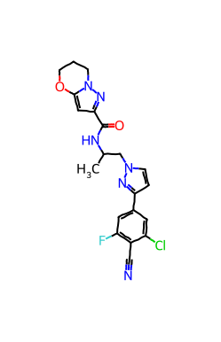 CC(Cn1ccc(-c2cc(F)c(C#N)c(Cl)c2)n1)NC(=O)c1cc2n(n1)CCCO2